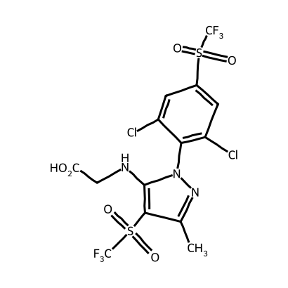 Cc1nn(-c2c(Cl)cc(S(=O)(=O)C(F)(F)F)cc2Cl)c(NCC(=O)O)c1S(=O)(=O)C(F)(F)F